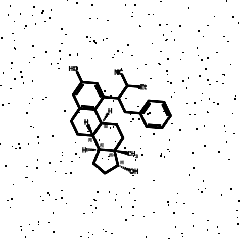 CCC(C#N)C(Cc1ccccc1)c1cc(O)cc2c1[C@H]1CC[C@]3(C)[C@H](O)CC[C@H]3[C@@H]1CC2